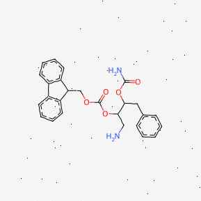 NCC(OC(=O)OCC1c2ccccc2-c2ccccc21)C(Cc1ccccc1)OC(N)=O